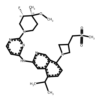 CO[C@@]1(C)CCN(c2nccc(Nc3cc4c(C(C)C)ccc(N5CC(CS(C)(=O)=O)C5)c4cn3)n2)C[C@@H]1F